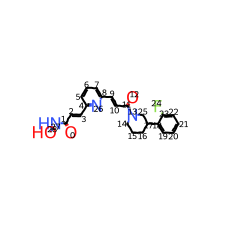 O=C(C=Cc1cccc(C=CC(=O)N2CCCC(c3ccccc3F)C2)n1)NO